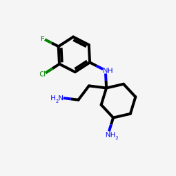 NCCC1(Nc2ccc(F)c(Cl)c2)CCCC(N)C1